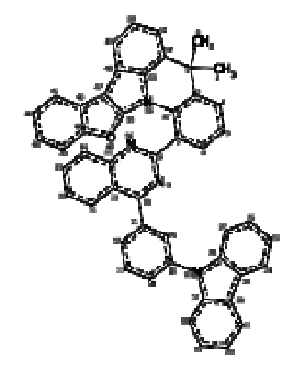 CC1(C)c2cccc(-c3nc(-c4cccc(-n5c6ccccc6c6ccccc65)c4)c4ccccc4n3)c2-n2c3oc4ccccc4c3c3cccc1c32